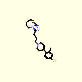 Cc1cc(Cl)ccc1C1=CCN(CCCc2nnc3n2CCCCC3)CC1